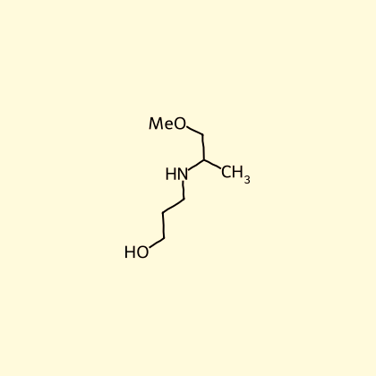 COCC(C)NCCCO